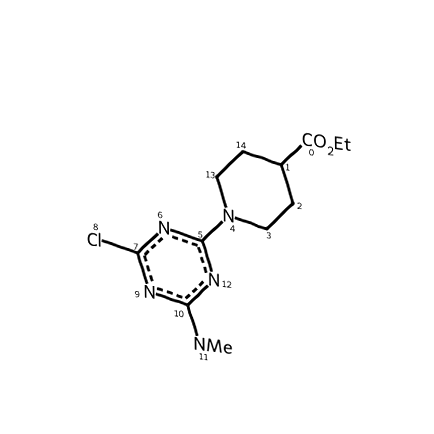 CCOC(=O)C1CCN(c2nc(Cl)nc(NC)n2)CC1